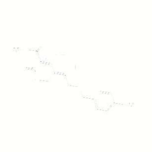 C=N/C(C(=O)OC)=C(O)\C(CO)=C(/C)COCc1ccc(OC)cc1